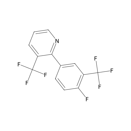 Fc1ccc(-c2ncccc2C(F)(F)F)cc1C(F)(F)F